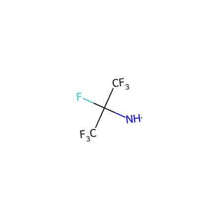 [NH]C(F)(C(F)(F)F)C(F)(F)F